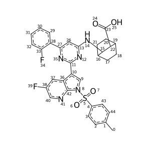 Cc1ccc(S(=O)(=O)n2cc(-c3nc(NC4C5CCC(CC5)C4C(=O)O)cc(-c4ccccc4F)n3)c3cc(F)cnc32)cc1